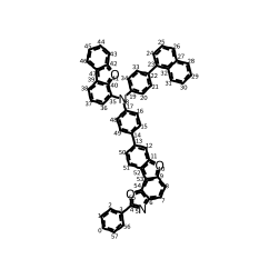 c1ccc(-c2nc3ccc4oc5cc(-c6ccc(N(c7ccc(-c8cccc9ccccc89)cc7)c7cccc8c7oc7ccccc78)cc6)ccc5c4c3o2)cc1